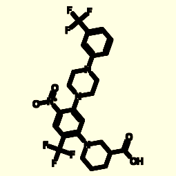 O=C(O)C1CCCN(c2cc(N3CCN(c4cccc(C(F)(F)F)c4)CC3)c([N+](=O)[O-])cc2C(F)(F)F)C1